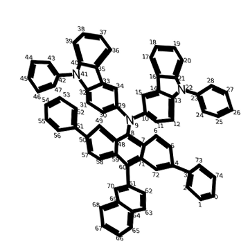 c1ccc(-c2ccc3c(N(c4ccc5c(c4)c4ccccc4n5-c4ccccc4)c4ccc5c(c4)c4ccccc4n5-c4ccccc4)c4cc(-c5ccccc5)ccc4c(-c4ccc5ccccc5c4)c3c2)cc1